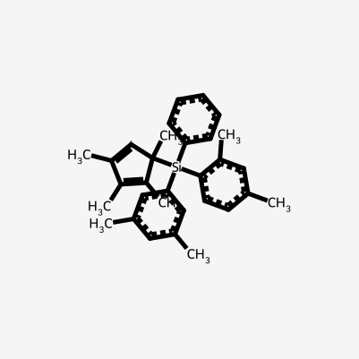 CC1=[C]C(C)([Si](c2ccccc2)(c2cc(C)cc(C)c2)c2ccc(C)cc2C)C(C)=C1C